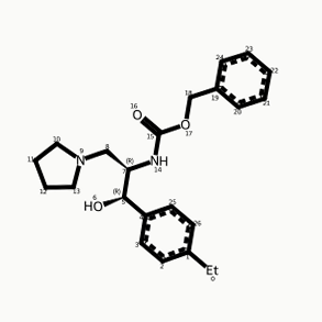 CCc1ccc([C@@H](O)[C@@H](CN2CCCC2)NC(=O)OCc2ccccc2)cc1